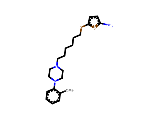 COc1ccccc1N1CCN(CCCCCCSc2ccc(N)s2)CC1